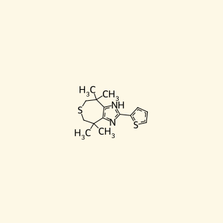 CC1(C)CSCC(C)(C)c2[nH]c(-c3cccs3)nc21